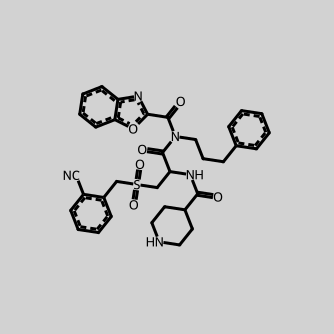 N#Cc1ccccc1CS(=O)(=O)CC(NC(=O)C1CCNCC1)C(=O)N(CCCc1ccccc1)C(=O)c1nc2ccccc2o1